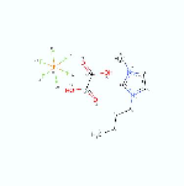 CCCC[n+]1ccn(C)c1.F[P-](F)(F)(F)(F)F.O=C(O)C(=O)O